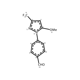 COc1cc(C(F)(F)F)nn1-c1ccc(C=O)cc1